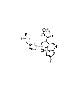 COC(=O)C1CC(C)(c2cnn(CC(F)(F)F)c2)c2c1cnc1cc(F)nn21